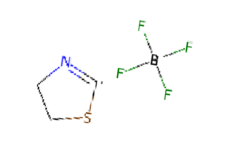 F[B-](F)(F)F.[C]1=NCCS1